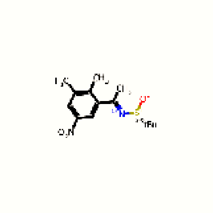 C/C(=N\[S@+]([O-])C(C)(C)C)c1cc([N+](=O)[O-])cc(C(F)(F)F)c1C